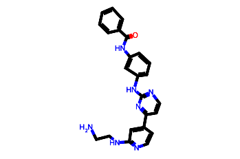 NCCNc1cc(-c2ccnc(Nc3cccc(NC(=O)c4ccccc4)c3)n2)ccn1